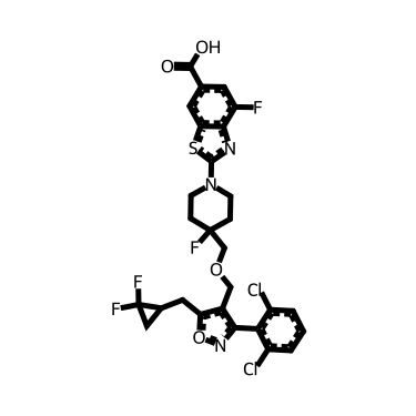 O=C(O)c1cc(F)c2nc(N3CCC(F)(COCc4c(-c5c(Cl)cccc5Cl)noc4CC4CC4(F)F)CC3)sc2c1